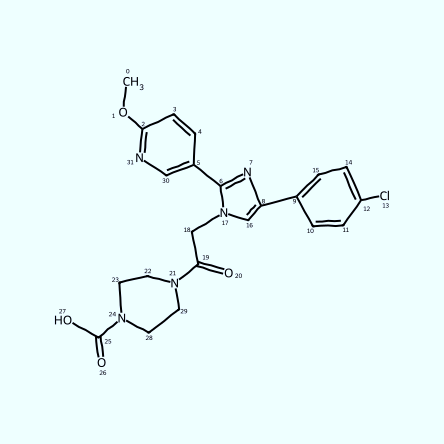 COc1ccc(-c2nc(-c3ccc(Cl)cc3)cn2CC(=O)N2CCN(C(=O)O)CC2)cn1